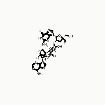 Nc1nc2c(ncn2[C@@H]2O[C@@](CO)(CF)C[C@H]2OP(O)(=S)OC[C@@]23CO[C@@H]([C@H](n4cnc5c(N)ncnc54)O2)[C@@H]3O[PH](=O)O)c(=O)[nH]1